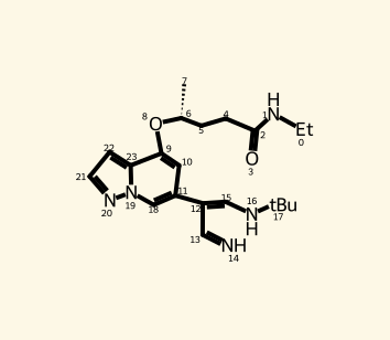 CCNC(=O)CC[C@@H](C)Oc1cc(/C(C=N)=C/NC(C)(C)C)cn2nccc12